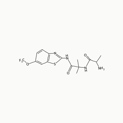 CC(N)C(=O)NC(C)(C)C(=O)Nc1nc2ccc(OC(F)(F)F)cc2s1